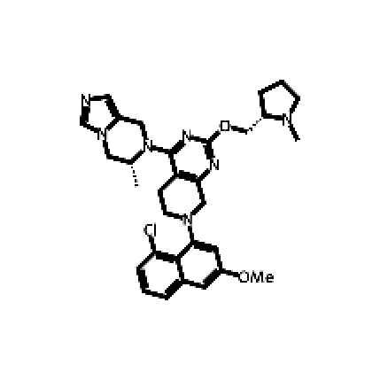 COc1cc(N2CCc3c(nc(OC[C@@H]4CCCN4C)nc3N3Cc4cncn4C[C@H]3C)C2)c2c(Cl)cccc2c1